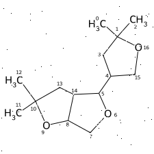 CC1(C)CC(C2OCC3OC(C)(C)CC32)CO1